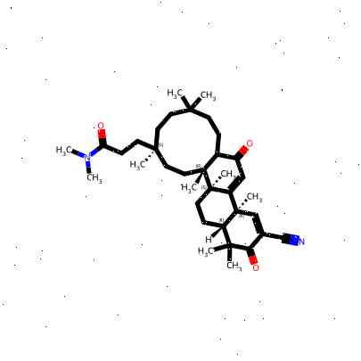 CN(C)C(=O)CC[C@@]1(C)CCC(C)(C)CCC2C(=O)C=C3[C@@]4(C)C=C(C#N)C(=O)C(C)(C)[C@@H]4CC[C@@]3(C)[C@]2(C)CC1